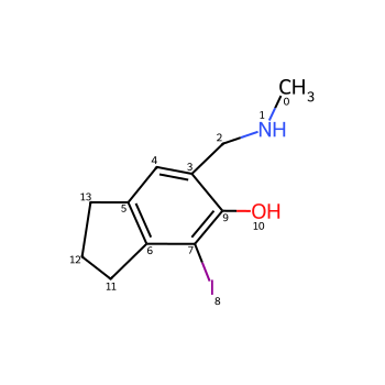 CNCc1cc2c(c(I)c1O)CCC2